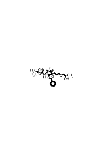 C[C@H](O)COCCC[C@@](OCc1ccccc1)(C(=O)NNC(=O)OC(C)(C)C)C(F)(F)F